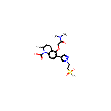 C[C@H]1CCc2c(ccc(-c3cnn(CCS(C)(=O)=O)c3)c2OCC(=O)N(C)C)N1C(=O)O